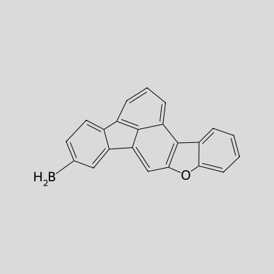 Bc1ccc2c(c1)-c1cc3oc4ccccc4c3c3cccc-2c13